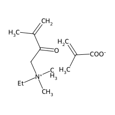 C=C(C)C(=O)C[N+](C)(C)CC.C=C(C)C(=O)[O-]